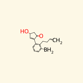 Bc1cccc(C2=CC(O)CC2=O)c1CCC=C